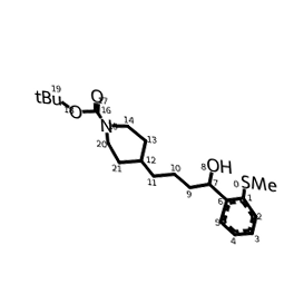 CSc1ccccc1C(O)CCCC1CCN(C(=O)OC(C)(C)C)CC1